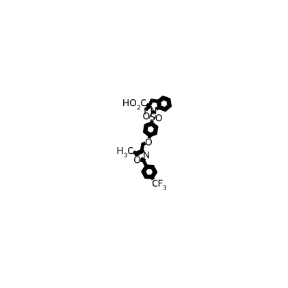 Cc1oc(-c2ccc(C(F)(F)F)cc2)nc1COc1ccc(S(=O)(=O)N2c3ccccc3CC2(I)C(=O)O)cc1